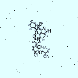 N#Cc1cccc(Cl)c1Oc1cc(C2CC(=O)N(c3ccc4[nH]nc(N5C(=O)c6ccccc6C5=O)c4c3)C2)ccc1Cl